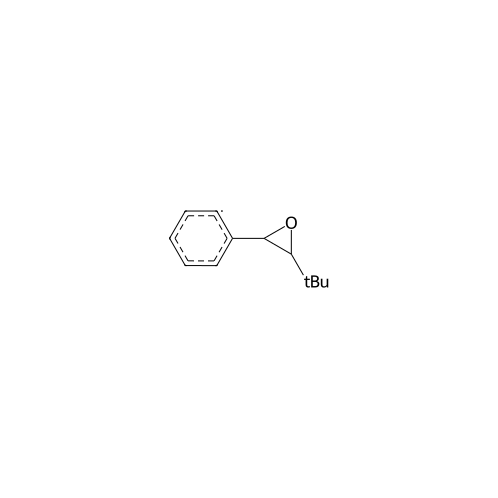 CC(C)(C)C1OC1c1[c]cccc1